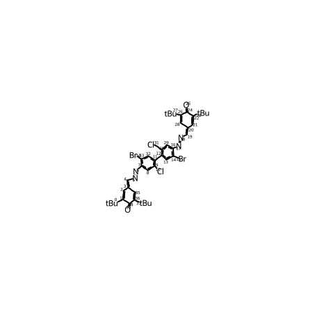 CC(C)(C)C1=CC(=C/N=N/c2cc(Cl)c(-c3cc(Br)c(/N=N/C=C4C=C(C(C)(C)C)C(=O)C(C(C)(C)C)=C4)cc3Cl)cc2Br)C=C(C(C)(C)C)C1=O